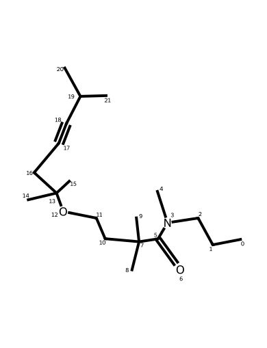 CCCN(C)C(=O)C(C)(C)CCOC(C)(C)CC#CC(C)C